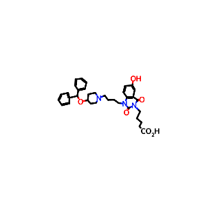 O=C(O)CCCCn1c(=O)c2cc(O)ccc2n(CCCCN2CCC(OC(c3ccccc3)c3ccccc3)CC2)c1=O